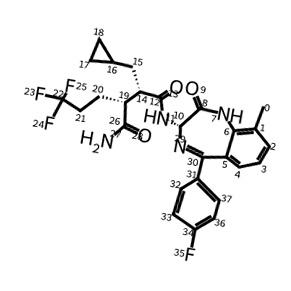 Cc1cccc2c1NC(=O)[C@@H](NC(=O)[C@@H](CC1CC1)[C@@H](CCC(F)(F)F)C(N)=O)N=C2c1ccc(F)cc1